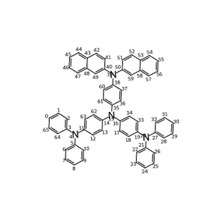 c1ccc(N(c2ccccc2)c2ccc(N(c3ccc(N(c4ccccc4)c4ccccc4)cc3)c3ccc(N(c4ccc5ccccc5c4)c4ccc5ccccc5c4)cc3)cc2)cc1